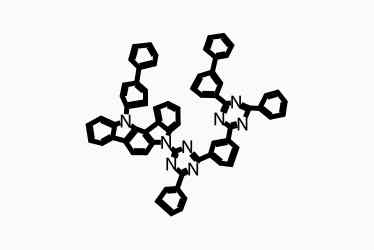 c1ccc(-c2ccc(-n3c4ccccc4c4ccc5c(c6ccccc6n5-c5nc(-c6ccccc6)nc(-c6cccc(-c7nc(-c8ccccc8)nc(-c8cccc(-c9ccccc9)c8)n7)c6)n5)c43)cc2)cc1